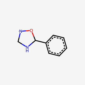 c1ccc(C2NC[N]O2)cc1